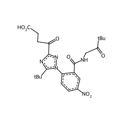 CC(C)(C)C(=O)CNC(=O)c1cc([N+](=O)[O-])ccc1-n1nc(C(=O)CCC(=O)O)nc1C(C)(C)C